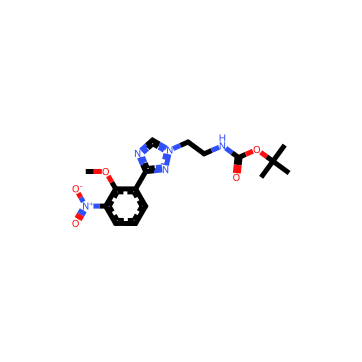 COc1c(-c2ncn(CCNC(=O)OC(C)(C)C)n2)cccc1[N+](=O)[O-]